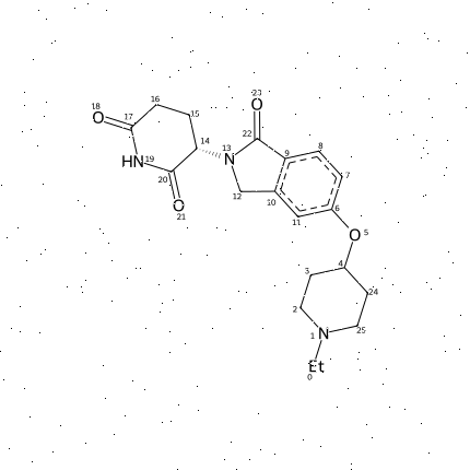 CCN1CCC(Oc2ccc3c(c2)CN([C@H]2CCC(=O)NC2=O)C3=O)CC1